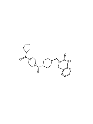 O=C(C1CCCC1)N1CCN(C(=O)[C@H]2CC[C@H](CN3Cc4ccccc4NC3=O)CC2)CC1